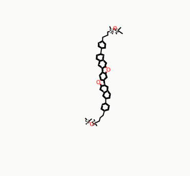 C[Si](C)(C)O[Si](C)(C)CCCc1ccc(-c2ccc3cc4c(cc3c2)oc2cc3c(cc24)oc2cc4cc(-c5ccc(CCC[Si](C)(C)O[Si](C)(C)C)cc5)ccc4cc23)cc1